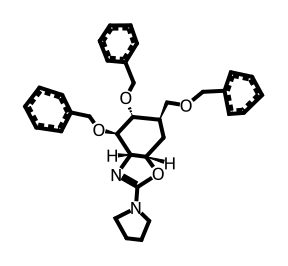 c1ccc(COC[C@H]2C[C@@H]3OC(N4CCCC4)=N[C@@H]3[C@@H](OCc3ccccc3)[C@@H]2OCc2ccccc2)cc1